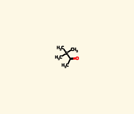 CC(=O)[Si](C)(C)C